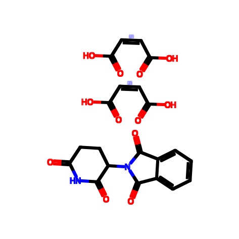 O=C(O)/C=C\C(=O)O.O=C(O)/C=C\C(=O)O.O=C1CCC(N2C(=O)c3ccccc3C2=O)C(=O)N1